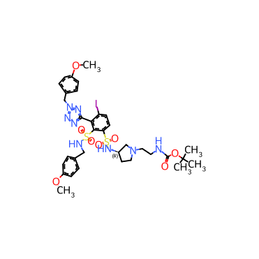 COc1ccc(CNS(=O)(=O)c2c(S(=O)(=O)N[C@@H]3CCN(CCNC(=O)OC(C)(C)C)C3)ccc(I)c2-c2nnn(Cc3ccc(OC)cc3)n2)cc1